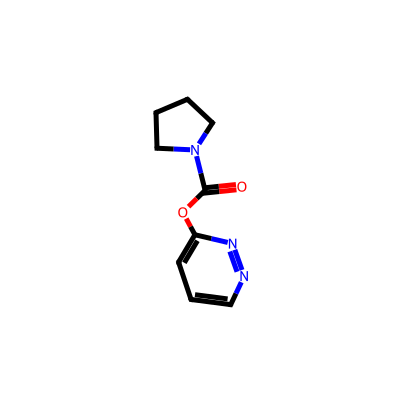 O=C(Oc1cccnn1)N1CCCC1